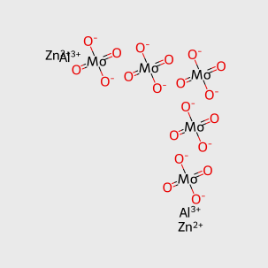 [Al+3].[Al+3].[O]=[Mo](=[O])([O-])[O-].[O]=[Mo](=[O])([O-])[O-].[O]=[Mo](=[O])([O-])[O-].[O]=[Mo](=[O])([O-])[O-].[O]=[Mo](=[O])([O-])[O-].[Zn+2].[Zn+2]